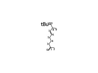 C=C(C)CCCC=CC(C)CC(C)(C)C